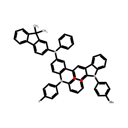 CC(C)(C)c1ccc(-n2c3ccccc3c3cc(-c4cc(N(c5ccccc5)c5ccc6c(c5)C(C)(C)c5ccccc5-6)ccc4N(c4ccccc4)c4ccc(F)cc4)ccc32)cc1